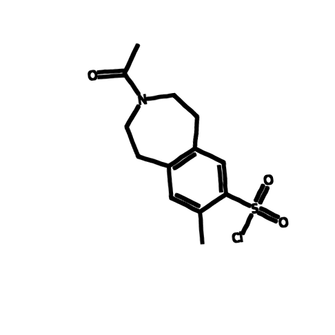 CC(=O)N1CCc2cc(C)c(S(=O)(=O)Cl)cc2CC1